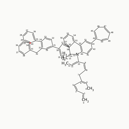 C=C/C=C\C(=C/C)C/C=C\C(=C\C)N(C(=C)/C=C\C(=C/C)c1ccc(-c2ccccc2)c(Cc2ccccc2)c1)c1ccc(C2=CCC=CC=C2)cc1-c1ccccc1